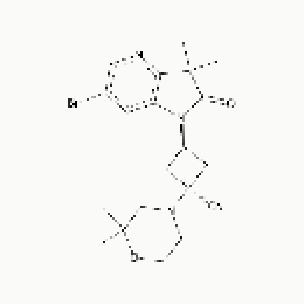 CC1(C)CN([C@]2(C#N)C[C@H](N3C(=O)C(C)(C)c4ncc(Br)cc43)C2)CCO1